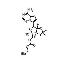 CC[C@H](C)COC(=O)OC[C@@]1(C#N)O[C@@H](c2ccc3c(N)ncnn23)[C@@H]2OC(C)(C)O[C@@H]21